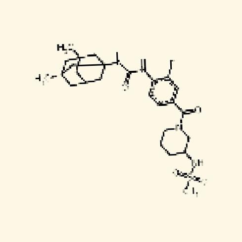 C[C@]12CC3CC(NC(=O)Nc4ccc(C(=O)N5CCC[C@H](NS(C)(=O)=O)C5)cc4F)(C1)C[C@@](C)(C3)C2